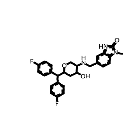 Cn1c(=O)[nH]c2cc(CNC3COC(C(c4ccc(F)cc4)c4ccc(F)cc4)CC3O)ccc21